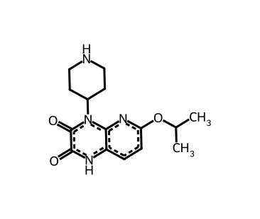 CC(C)Oc1ccc2[nH]c(=O)c(=O)n(C3CCNCC3)c2n1